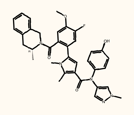 COc1cc(C(=O)N2Cc3ccccc3C[C@H]2C)c(-c2cc(C(=O)N(c3ccc(O)cc3)c3cnn(C)c3)c(C)n2C)cc1F